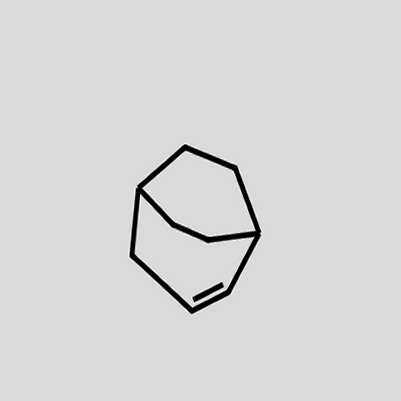 C1=CC2CCC(C1)CC2